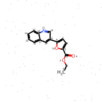 CCOC(=O)c1ccc(-c2cnc3ccccc3c2)o1